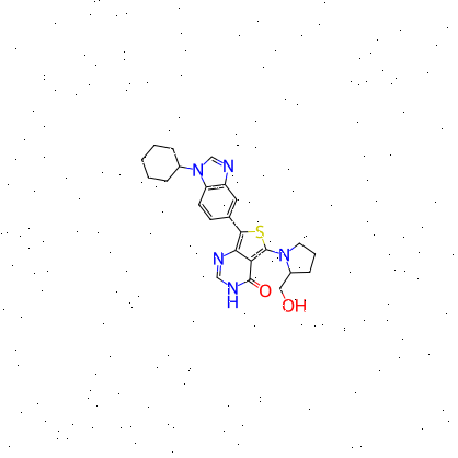 O=c1[nH]cnc2c(-c3ccc4c(c3)ncn4C3CCCCC3)sc(N3CCCC3CO)c12